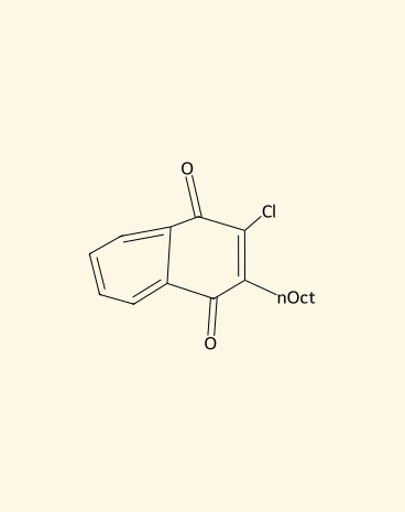 CCCCCCCCC1=C(Cl)C(=O)c2ccccc2C1=O